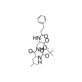 COC(=O)C(CNC(=O)C(CC(C)C)NC(=O)OC(C)(C)C)NC(=O)CCc1ccccc1